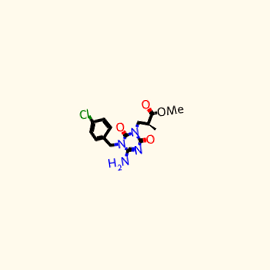 COC(=O)[C@@H](C)Cn1c(=O)nc(N)n(Cc2ccc(Cl)cc2)c1=O